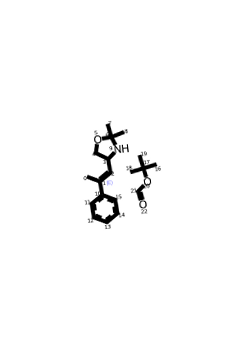 C/C(=C\C1COC(C)(C)N1)c1ccccc1.CC(C)(C)OC=O